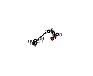 O=C(c1ccc(OCCCCCCNC[C@H](O)c2ccc(O)c3[nH]c(=O)ccc23)cc1)N1CCC(C(=O)O[C@H]2CN3CCC2CC3)(c2ccc(Cl)cc2)CC1